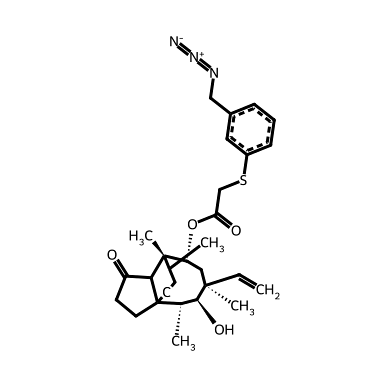 C=C[C@]1(C)C[C@@H](OC(=O)CSc2cccc(CN=[N+]=[N-])c2)[C@]2(C)C(C)CCC3(CCC(=O)C32)[C@@H](C)[C@@H]1O